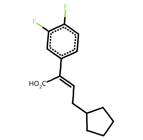 O=C(O)C(=CCC1CCCC1)c1ccc(F)c(F)c1